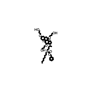 CCCCCCCCN(CCCC(C)[C@H]1CC[C@H]2C3[C@H](OCCCO)CC4C[C@H](OCCCO)CC[C@]4(C)[C@H]3C[C@H](OCCCO)[C@]12C)C(=O)OCc1ccccc1